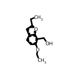 CCOc1ccc2cc(CC)oc2c1CO